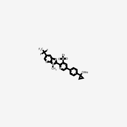 CCS(=O)(=O)c1cc(-c2ccc(C3(OC)CC3)cc2)cnc1-c1nc2cc(C(F)(F)C(F)(F)F)cnc2n1C